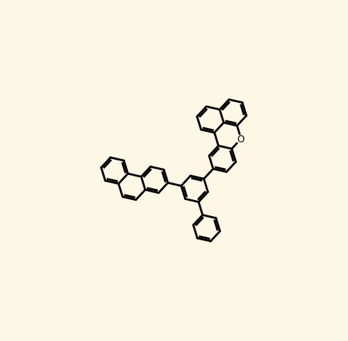 c1ccc(-c2cc(-c3ccc4c(c3)-c3cccc5cccc(c35)O4)cc(-c3ccc4c(ccc5ccccc54)c3)c2)cc1